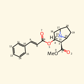 COC(=O)[C@H]1C(OC(=O)/C=C/c2ccccc2)CC2CCC1N2C